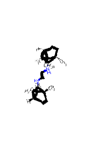 CC1(C)[C@@H]2CC[C@@]1(C)[C@H](NCCN[C@@H]1C[C@H]3CC[C@]1(C)C3(C)C)C2